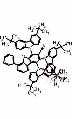 CC(C)(C)c1ccc2c(c1)c1cc(C(C)(C)C)ccc1n2-c1c(C#N)c(-n2c3ccc(C(C)(C)C)cc3c3cc(C(C)(C)C)ccc32)c2oc3c(-c4ccccc4)cccc3c2c1-n1c2ccc(C(C)(C)C)cc2c2cc(C(C)(C)C)ccc21